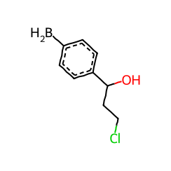 Bc1ccc(C(O)CCCl)cc1